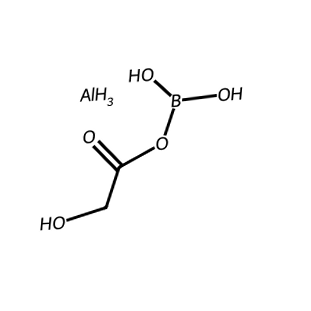 O=C(CO)OB(O)O.[AlH3]